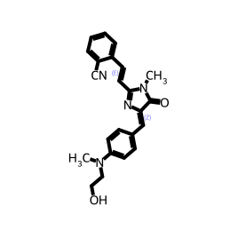 CN1C(=O)/C(=C/c2ccc(N(C)CCO)cc2)N=C1/C=C/c1ccccc1C#N